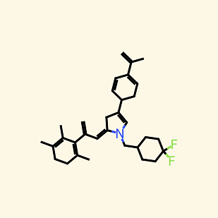 C=C(C)C1=CCC(C2=CN(CC3CCC(F)(F)CC3)/C(=C/C(=C)C3=C(C)CCC(C)=C3C)C2)C=C1